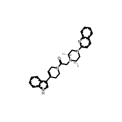 C[C@@H]1CN(c2ccc3ccccc3n2)C[C@H](C)N1CC(=O)N1CC=C(c2c[nH]c3ccccc23)CC1